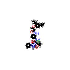 CCC(C)(C)c1ccc(OC(C)CC(=O)Nc2cccc(NC(=O)C(Cl)(C(=O)C(C)(C)C)n3c(=O)n(C)n(-c4ccccc4)c3=O)c2)c(C(C)(C)CC)c1